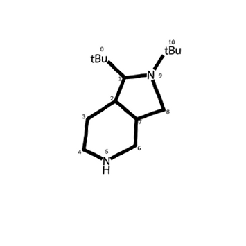 CC(C)(C)C1C2CCNCC2CN1C(C)(C)C